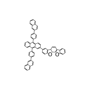 C1=CC2c3cc(-c4ccc5c(-c6ccc(-c7ccc8ccccc8c7)cc6)c6ccccc6c(-c6ccc(-c7ccc8ccccc8c7)cc6)c5c4)ccc3OC2c2oc3ccccc3c21